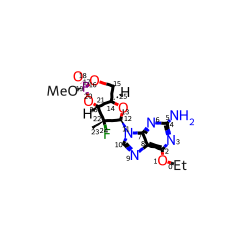 CCOc1nc(N)nc2c1ncn2[C@@H]1O[C@@H]2CO[P@@](=O)(OC)O[C@H]2[C@@]1(C)F